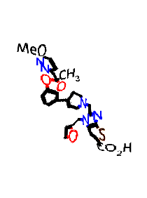 COc1ccc([C@@]2(C)Oc3cccc(C4CCN(Cc5nc6sc(C(=O)O)cc6n5C[C@@H]5CCO5)CC4)c3O2)nn1